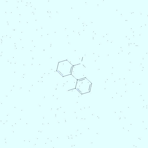 OB(O)C1=C(c2ccccc2Cl)C=CCC1